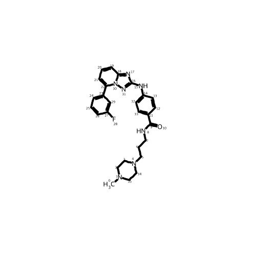 CN1CCN(CCCNC(=O)c2ccc(Nc3nc4cccc(-c5cccc(F)c5)n4n3)cc2)CC1